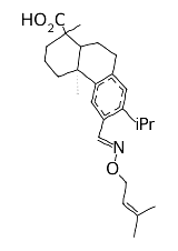 CC(C)=CCO/N=C/c1cc2c(cc1C(C)C)CCC1C(C)(C(=O)O)CCC[C@]21C